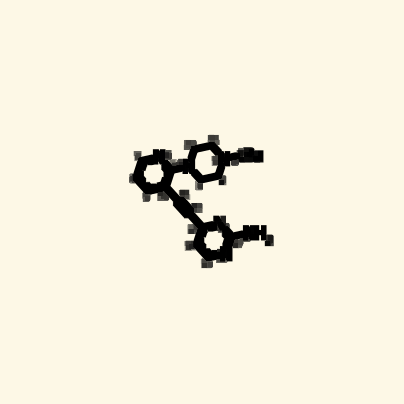 CC(C)(C)N1CCN(c2ncccc2C#Cc2ccnc(N)n2)CC1